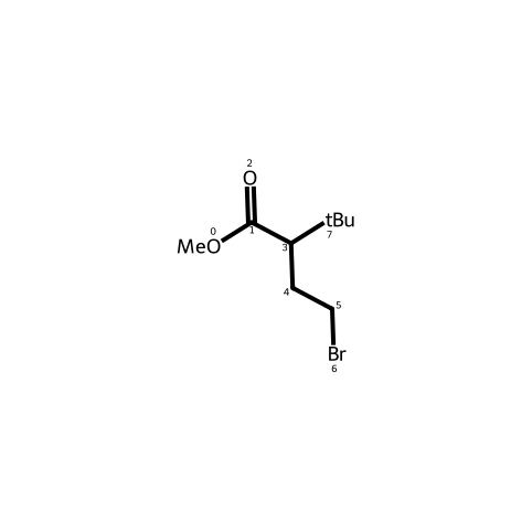 COC(=O)C(CCBr)C(C)(C)C